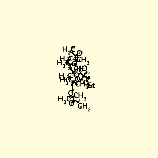 C=CC(=O)C(C)(C)OCCC(C)(C)OCC(CO)(COCC)COC(C)(C)CC(C)OC(C)(C)C(=O)C=C